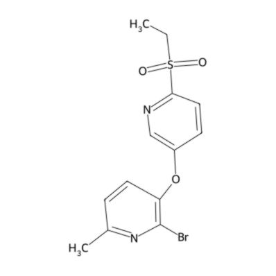 CCS(=O)(=O)c1ccc(Oc2ccc(C)nc2Br)cn1